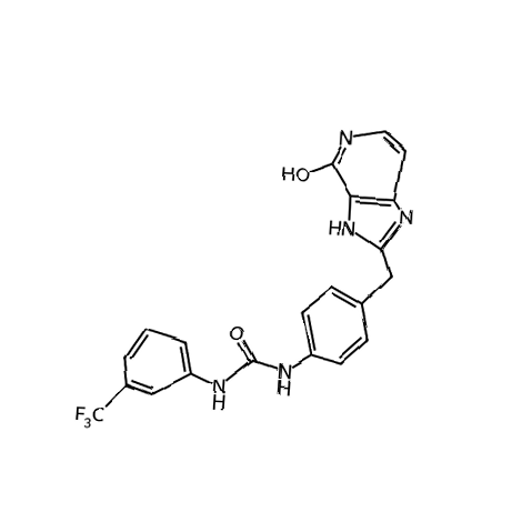 O=C(Nc1ccc(Cc2nc3ccnc(O)c3[nH]2)cc1)Nc1cccc(C(F)(F)F)c1